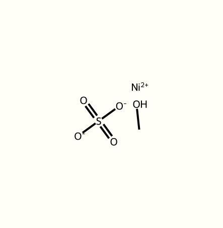 CO.O=S(=O)([O-])[O-].[Ni+2]